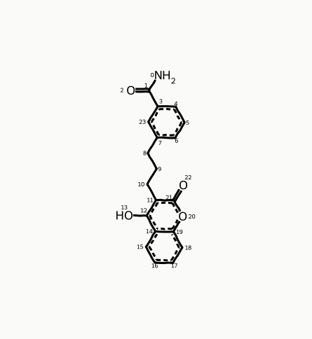 NC(=O)c1cccc(CCCc2c(O)c3ccccc3oc2=O)c1